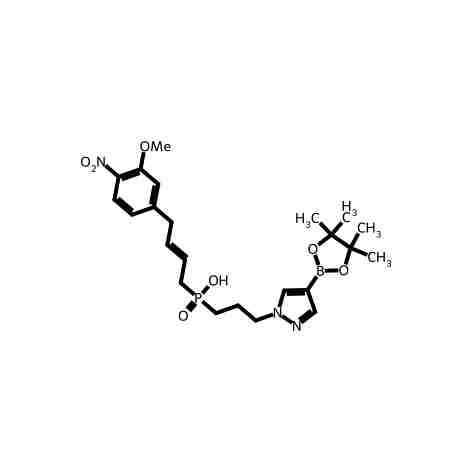 COc1cc(CC=CCP(=O)(O)CCCn2cc(B3OC(C)(C)C(C)(C)O3)cn2)ccc1[N+](=O)[O-]